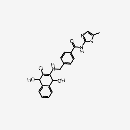 Cc1cnc(NC(=O)c2ccc(CNC3=C(Cl)C(O)c4ccccc4C3O)cc2)s1